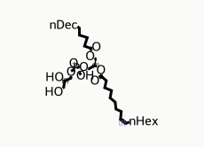 CCCCCC/C=C\CCCCCCCC(=O)O[C@H](COC(=O)CCCCCCCCCCCCCC)COP(=O)(O)OC[C@@H](O)CO